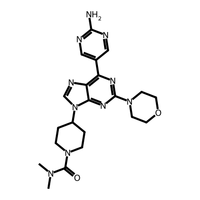 CN(C)C(=O)N1CCC(n2cnc3c(-c4cnc(N)nc4)nc(N4CCOCC4)nc32)CC1